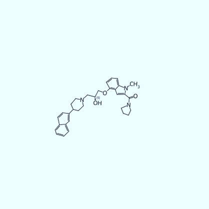 Cn1c(C(=O)N2CCCC2)cc2c(OC[C@@H](O)CN3CCC(c4ccc5ccccc5c4)CC3)cccc21